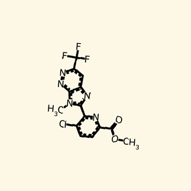 COC(=O)c1ccc(Cl)c(-c2nc3cc(C(F)(F)F)nnc3n2C)n1